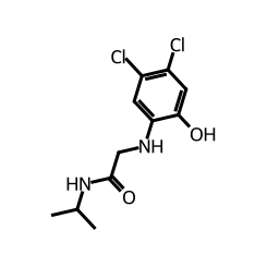 CC(C)NC(=O)CNc1cc(Cl)c(Cl)cc1O